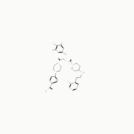 CNc1ccccc1CCN(C=O)C1CCN(C(=O)O[C@H](Cc2cc(Cl)c(N)c(C(F)(F)F)c2)C(=O)N2CCN(c3ccc(C(=O)OC(C)C)cc3)CC2)CC1